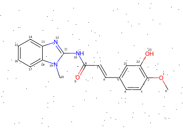 COc1ccc(C=CC(=O)Nc2nc3ccccc3n2C)cc1O